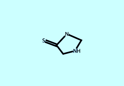 S=C1CNC[N]1